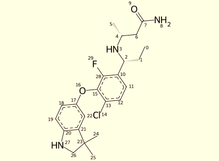 CC[C@@H](N[C@H](C)CC(N)=O)c1ccc(Cl)c(Oc2ccc3c(c2)C(C)(C)CN3)c1F